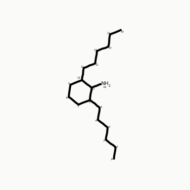 CCCCCCC1CCCC(CCCCCC)C1N